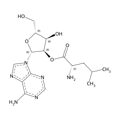 CC(C)C[C@H](N)C(=O)O[C@@H]1[C@H](O)[C@@H](CO)O[C@H]1n1cnc2c(N)ncnc21